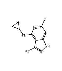 Sc1n[nH]c2nc(Cl)nc(NC3CC3)c12